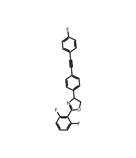 Fc1ccc(C#Cc2ccc(C3COC(c4c(F)cccc4F)=N3)cc2)cc1